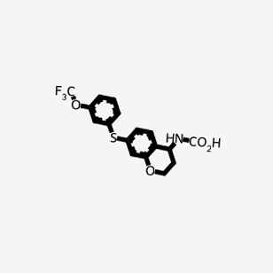 O=C(O)NC1CCOc2cc(Sc3cccc(OC(F)(F)F)c3)ccc21